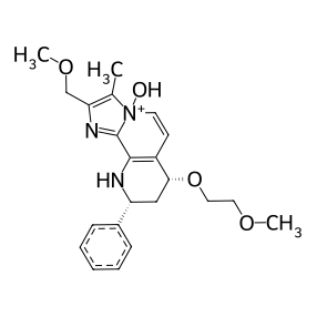 COCCO[C@@H]1C[C@H](c2ccccc2)NC2=C1C=C[N+]1(O)C2=NC(COC)=C1C